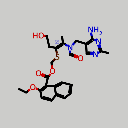 CCOc1ccc2ccccc2c1C(=O)OCS/C(CCO)=C(/C)N(C=O)Cc1cnc(C)nc1N